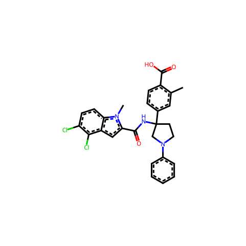 Cc1cc(C2(NC(=O)c3cc4c(Cl)c(Cl)ccc4n3C)CCN(c3ccccc3)C2)ccc1C(=O)O